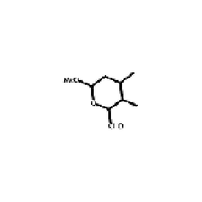 COC1CC(C)C(C)C(C=O)O1